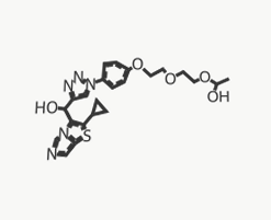 CC(O)OCCOCCOc1ccc(-n2cc(C(O)c3c(C4CC4)sc4cncn34)nn2)cc1